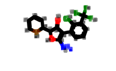 NC1=C(c2cccc(C(F)(F)F)c2Cl)C(=O)C(C2C=CC=CS2)O1